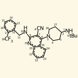 CC(C)(C)NC1CCN(c2c(C#N)c(NCc3ccccc3C(F)(F)F)nc3ccccc23)CC1